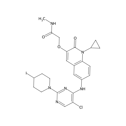 CNC(=O)COc1cc2cc(Nc3nc(N4CCC(I)CC4)ncc3Cl)ccc2n(C2CC2)c1=O